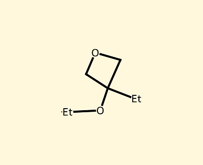 C[CH]OC1(CC)COC1